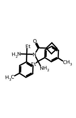 CCC(N)(c1cccc(C)c1)N(C(=O)C1CCC1)C(N)(CC)c1cccc(C)c1